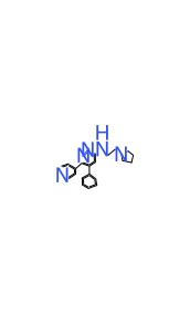 c1ccc(-c2cc(NCCN3CCCC3)nnc2-c2ccncc2)cc1